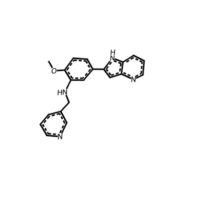 COc1ccc(-c2cc3ncccc3[nH]2)cc1NCc1cccnc1